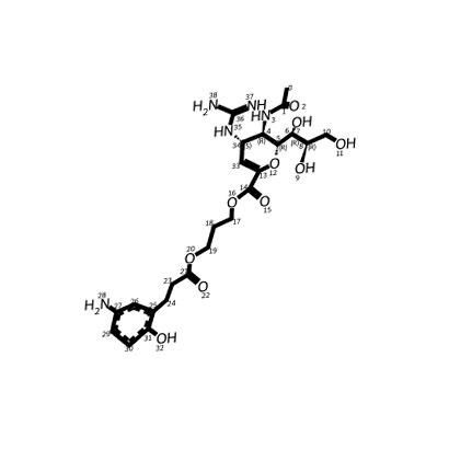 CC(=O)N[C@H]1[C@H]([C@H](O)[C@H](O)CO)OC(C(=O)OCCCOC(=O)CCc2cc(N)ccc2O)=C[C@@H]1NC(=N)N